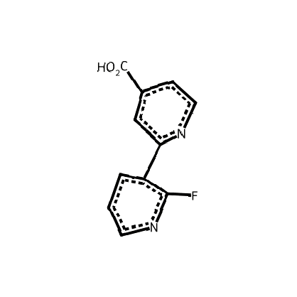 O=C(O)c1ccnc(-c2cccnc2F)c1